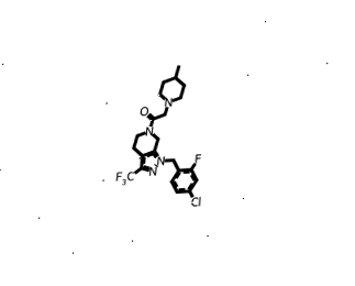 CC1CCN(CC(=O)N2CCc3c(C(F)(F)F)nn(Cc4ccc(Cl)cc4F)c3C2)CC1